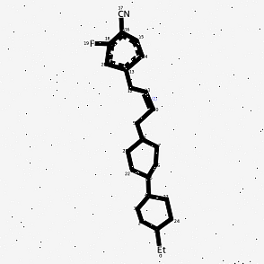 CCC1CCC(C2CCC(C/C=C\Cc3ccc(C#N)c(F)c3)CC2)CC1